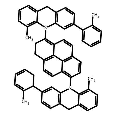 CC1=CC=CCC1c1ccc2c(c1)N(c1ccc3ccc4c5c(ccc1c35)CCC=4N1c3cc(-c4ccccc4C)ccc3Cc3cccc(C)c31)c1c(C)cccc1C2